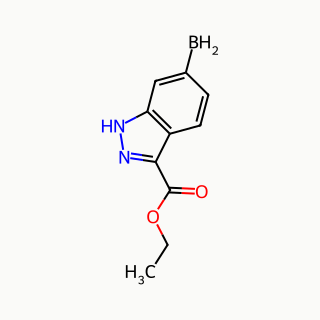 Bc1ccc2c(C(=O)OCC)n[nH]c2c1